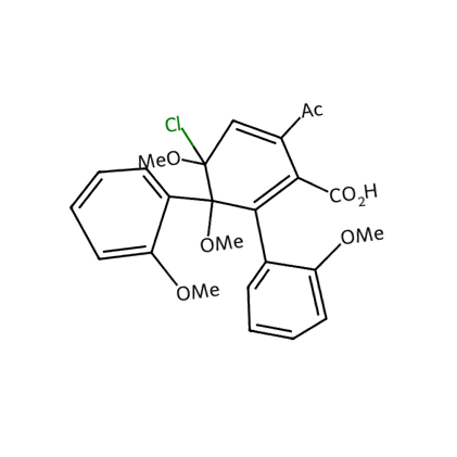 COc1ccccc1C1=C(C(=O)O)C(C(C)=O)=CC(Cl)(OC)C1(OC)c1ccccc1OC